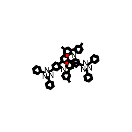 Cc1ccc2c(c1)c1cc(C)ccc1n2-c1cc(-c2nc(-c3ccccc3)nc(-c3ccccc3)n2)ccc1-c1cccc(-c2ccc(-c3nc(-c4ccccc4)nc(-c4ccccc4)n3)cc2-n2c3ccc(C)cc3c3cc(C)ccc32)c1